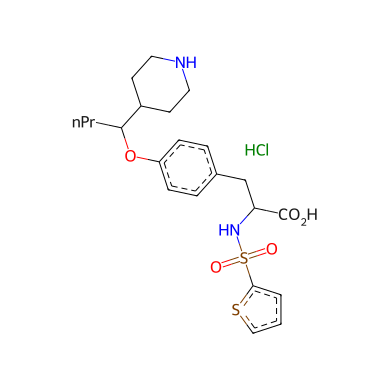 CCCC(Oc1ccc(CC(NS(=O)(=O)c2cccs2)C(=O)O)cc1)C1CCNCC1.Cl